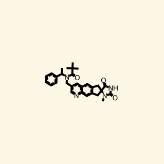 CC(c1ccccc1)N(Cc1cnc2cc3c(cc2c1)CC1(C3)C(=O)NC(=O)N1C)C(=O)C(C)(C)C